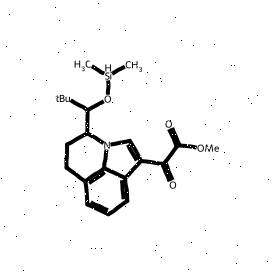 COC(=O)C(=O)c1cn2c3c(cccc13)CCC2C(O[SiH](C)C)C(C)(C)C